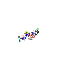 O=S(=O)(C1CC1)N(Cc1nc(-c2nnc(C(F)F)o2)cs1)c1cccc(Cl)c1